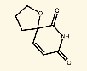 O=C1C=CC2(CCCO2)C(=O)N1